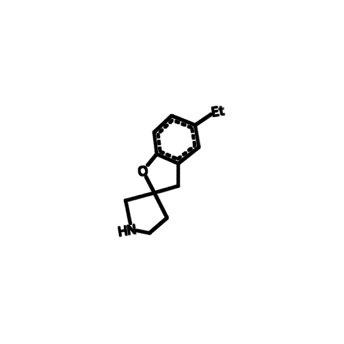 CCc1ccc2c(c1)CC1(CCNC1)O2